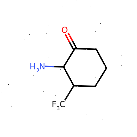 NC1C(=O)CCCC1C(F)(F)F